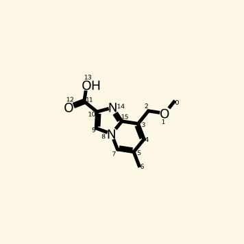 COCc1cc(C)cn2cc(C(=O)O)nc12